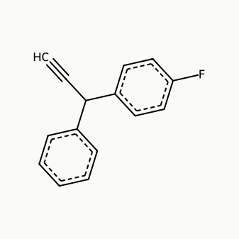 C#CC(c1ccccc1)c1ccc(F)cc1